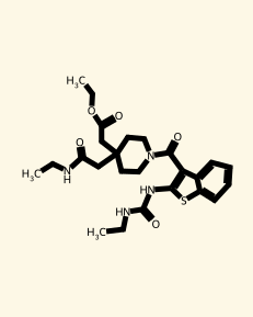 CCNC(=O)CC1(CC(=O)OCC)CCN(C(=O)c2c(NC(=O)NCC)sc3ccccc23)CC1